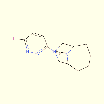 CN1C2CCCCC1CN(c1ccc(I)nn1)C2